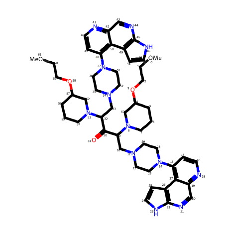 COCCOC1CCCN(C(CN2CCN(c3ccnc4cnc5[nH]ccc5c34)CC2)C(=O)C(CN2CCN(c3ccnc4cnc5[nH]ccc5c34)CC2)N2CCCC(OCCOC)C2)C1